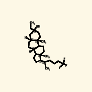 CC[C@]1(O)CC[C@]2(C)C3CC[C@@]4(C)C(CC[C@@H]4[C@H](C)CCCC(F)(F)F)[C@@H]3CC[C@@H]2C1